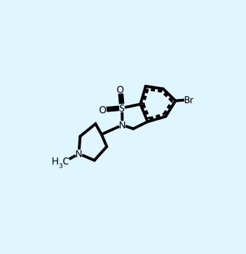 CN1CCC(N2Cc3cc(Br)ccc3S2(=O)=O)CC1